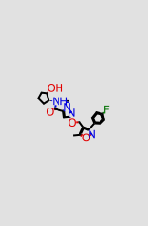 Cc1onc(-c2ccc(F)cc2)c1COc1cc(C(=O)N[C@@H]2CCC[C@H]2O)n(C)n1